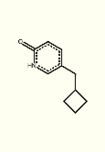 O=c1ccc(CC2CCC2)c[nH]1